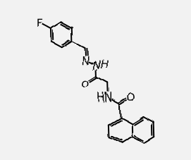 O=C(CNC(=O)c1cccc2ccccc12)N/N=C/c1ccc(F)cc1